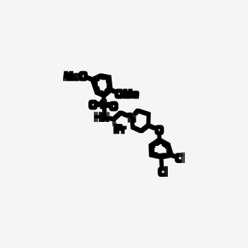 COc1ccc(OC)c(S(=O)(=O)N[C@H](CN2CCC(Oc3ccc(Cl)c(Cl)c3)CC2)C(C)C)c1